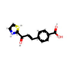 O=C(O)c1ccc(C=CC(=O)c2nccs2)cc1